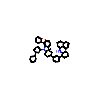 CC12CC(c3cccc(-c4ccccc4Nc4cccc5ccccc45)c3)=CC=C1N(c1cccc(-c3ccccc3)c1)c1c2ccc2oc3ccccc3c12